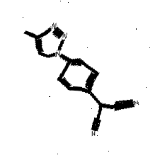 Cc1cn(-c2ccc(C(C#N)C#N)cc2)nn1